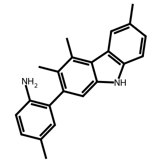 Cc1ccc(N)c(-c2cc3[nH]c4ccc(C)cc4c3c(C)c2C)c1